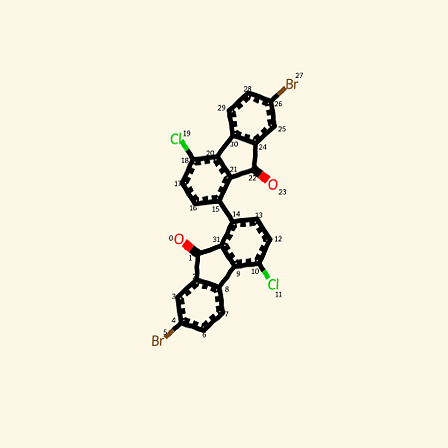 O=C1c2cc(Br)ccc2-c2c(Cl)ccc(-c3ccc(Cl)c4c3C(=O)c3cc(Br)ccc3-4)c21